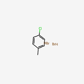 Br.Br.Cc1ccc(Cl)cc1